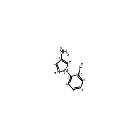 Nc1cnn(-c2ccccc2F)c1